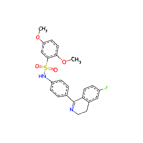 COc1ccc(OC)c(S(=O)(=O)Nc2ccc(C3=NCCc4cc(F)ccc43)cc2)c1